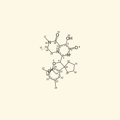 CC(=O)OC(c1nc(=O)c(O)c2n1C[C@H](C)N(C)C2=O)C1(c2cc(C)cc(C)c2)CCCC1